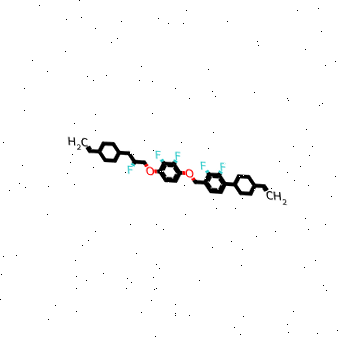 C=CC1CCC(CC(F)COc2ccc(OCc3ccc(C4CCC(C=C)CC4)c(F)c3F)c(F)c2F)CC1